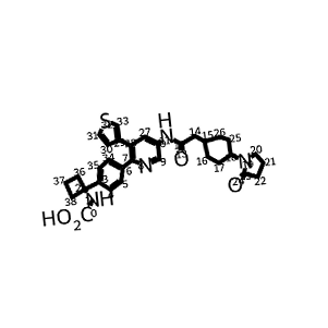 O=C(O)NC1(c2ccc(-c3ncc(NC(=O)CC4CCC(N5CCCC5=O)CC4)cc3-c3ccsc3)cc2)CCC1